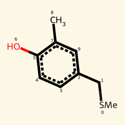 CSCc1ccc(O)c(C)c1